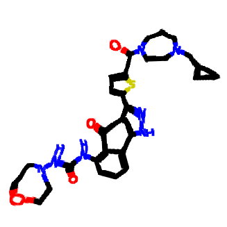 O=C(Nc1cccc2c1C(=O)c1c(-c3ccc(C(=O)N4CCCN(CC5CC5)CC4)s3)n[nH]c1-2)NN1CCOCC1